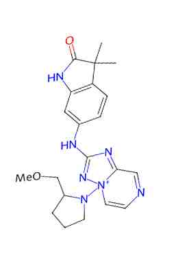 COCC1CCCN1[N+]12C=CN=CC1=NC(Nc1ccc3c(c1)NC(=O)C3(C)C)=N2